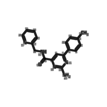 Cc1ccc(-c2cc(C(=O)NCc3ccccn3)nc(N)n2)cc1